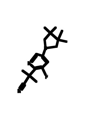 CC(C)(C#N)c1ncc(B2CC(C)(C)C(C)(C)C2)cc1F